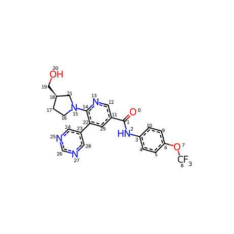 O=C(Nc1ccc(OC(F)(F)F)cc1)c1cnc(N2CC[C@@H](CO)C2)c(-c2cncnc2)c1